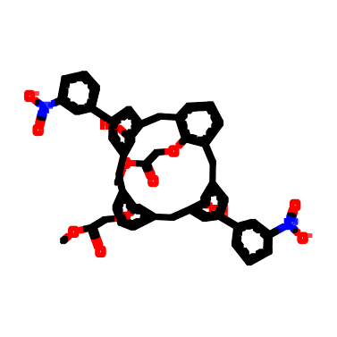 COC(=O)COc1c2cccc1Cc1cc(-c3cccc([N+](=O)[O-])c3)cc(c1O)Cc1cccc(c1OCC(=O)OC)Cc1cc(-c3cccc([N+](=O)[O-])c3)cc(c1O)C2